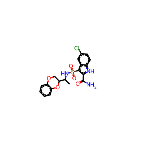 CC(NS(=O)(=O)c1c(C(N)=O)[nH]c2ccc(Cl)cc12)C1COc2ccccc2O1